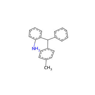 Cc1ccc(C(c2ccccc2)c2ccccc2N)cc1